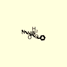 CN(C)CCNC(=O)[C@H](N)COCc1ccccc1